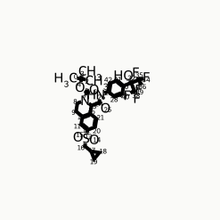 CC(C)(C)OC(=O)N1CCc2cc(S(=O)(=O)CC3CC3)ccc2C1C(=O)Nc1ccc(C(O)(C(F)(F)F)C(F)(F)F)cc1